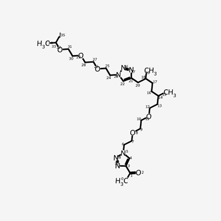 CC(=O)c1cn(CCOCCOCCC(C)CCC(C)Cc2cn(CCOCCOCCOC(C)I)nn2)nn1